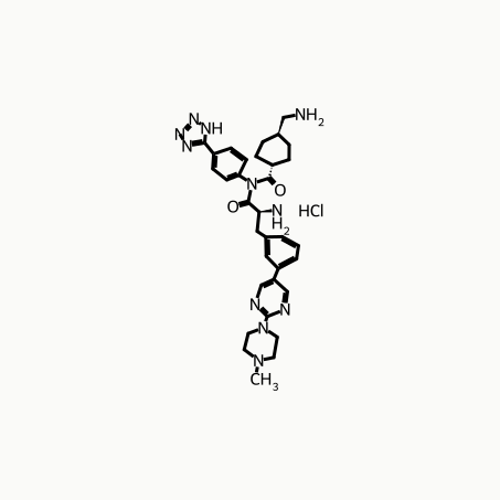 CN1CCN(c2ncc(-c3cccc(C[C@H](N)C(=O)N(c4ccc(-c5nnn[nH]5)cc4)C(=O)[C@H]4CC[C@H](CN)CC4)c3)cn2)CC1.Cl